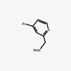 CNCc1cc(C(C)=O)ccn1